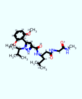 CNC(=O)CNC(=O)CC(CC(C)C)NC(=O)c1cc(-c2c(OC)cccc2OC)n(C(C)C(C)C)n1